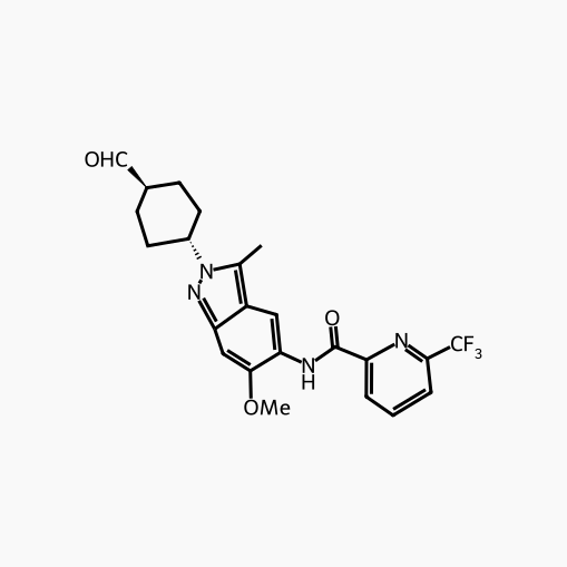 COc1cc2nn([C@H]3CC[C@H](C=O)CC3)c(C)c2cc1NC(=O)c1cccc(C(F)(F)F)n1